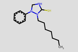 CCCCCCCN1C(S)NCN1c1ccccc1